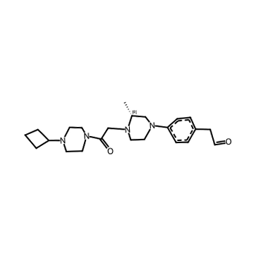 C[C@@H]1CN(c2ccc(CC=O)cc2)CCN1CC(=O)N1CCN(C2CCC2)CC1